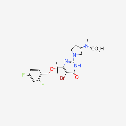 CN(C(=O)O)[C@@H]1CCN(c2nc(C(C)(C)OCc3ccc(F)cc3F)c(Br)c(=O)[nH]2)C1